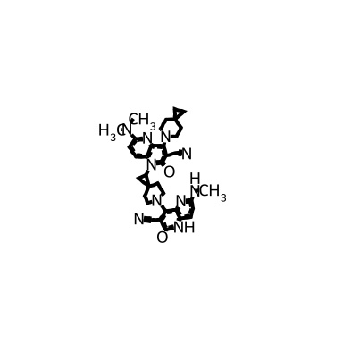 CNc1ccc2[nH]c(=O)c(C#N)c(N3CCC4(CC3)CC4n3c(=O)c(C#N)c(N4CCC5(CC4)CC5)c4nc(N(C)C)ccc43)c2n1